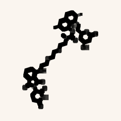 C[C@H]1C=C2C=C[C@H](C)[C@H](CC[C@@H]3C[C@@H](O)CC(=O)O3)[C@H]2[C@@H](OC(=O)N(C)CCOCCOCCNc2cccc3c2C(=O)N(C2CCC(=O)NC2=O)C3=O)C1